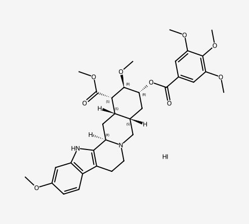 COC(=O)[C@H]1[C@H]2C[C@@H]3c4[nH]c5cc(OC)ccc5c4CCN3C[C@H]2C[C@@H](OC(=O)c2cc(OC)c(OC)c(OC)c2)[C@@H]1OC.I